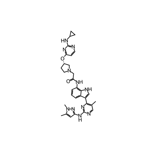 Cc1cnc(Nc2cc(C)n(C)n2)nc1-c1c[nH]c2c(NC(=O)CN3CC[C@H](Oc4ccnc(NC5CC5)n4)C3)cccc12